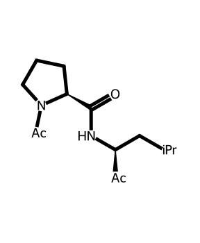 CC(=O)[C@H](CC(C)C)NC(=O)[C@@H]1CCCN1C(C)=O